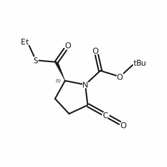 CCSC(=O)[C@@H]1CCC(=C=O)N1C(=O)OC(C)(C)C